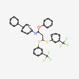 FC(F)(F)c1cccc(SC(CC(=Nc2ccc(-c3ccccc3)cc2)Oc2ccccc2)Sc2cccc(C(F)(F)F)c2)c1